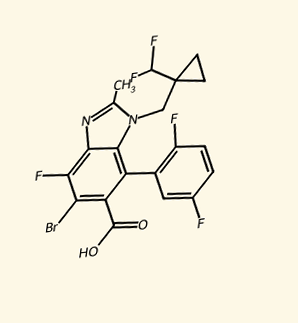 Cc1nc2c(F)c(Br)c(C(=O)O)c(-c3cc(F)ccc3F)c2n1CC1(C(F)F)CC1